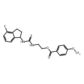 O=C(OCCNC(=S)NC1CCc2c(F)cccc21)c1ccc(OC(F)(F)F)cc1